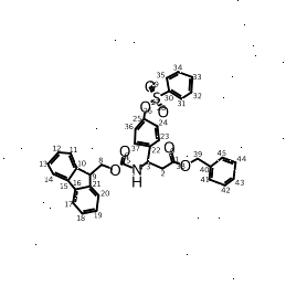 O=C(CC(NC(=O)OCC1c2ccccc2-c2ccccc21)c1ccc(OS(=O)(=O)c2ccccc2)cc1)OCc1ccccc1